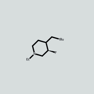 CCN1CCC(CC(C)(C)C)[C@@H](F)C1